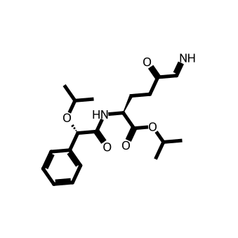 CC(C)OC(=O)[C@H](CCC(=O)C=N)NC(=O)[C@@H](OC(C)C)c1ccccc1